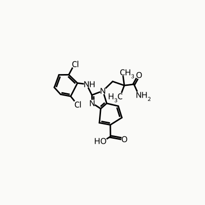 CC(C)(Cn1c(Nc2c(Cl)cccc2Cl)nc2cc(C(=O)O)ccc21)C(N)=O